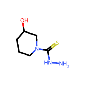 NNC(=S)N1CCCC(O)C1